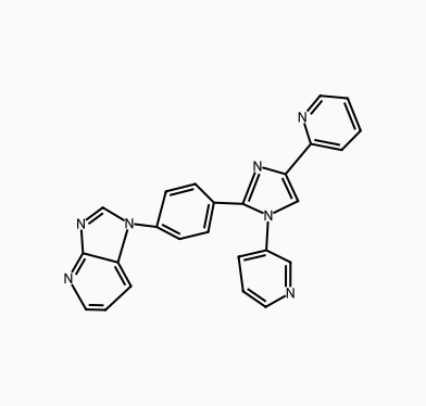 c1ccc(-c2cn(-c3cccnc3)c(-c3ccc(-n4cnc5ncccc54)cc3)n2)nc1